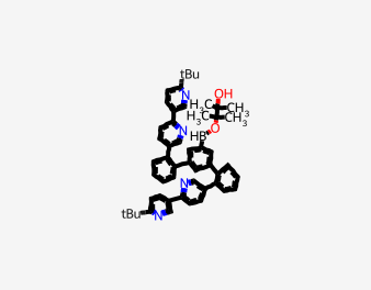 CC(C)(C)c1ccc(-c2ccc(-c3ccccc3-c3cc(BOC(C)(C)C(C)(C)O)cc(-c4ccccc4-c4ccc(-c5ccc(C(C)(C)C)nc5)nc4)c3)cn2)cn1